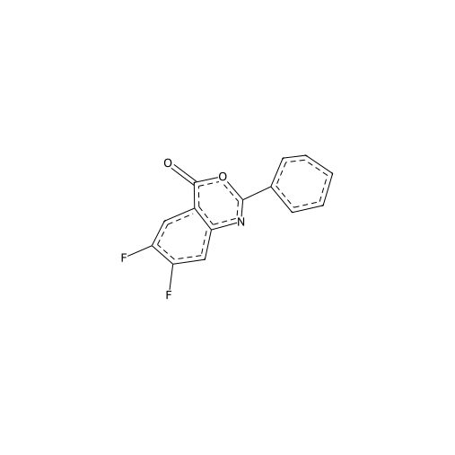 O=c1oc(-c2ccccc2)nc2cc(F)c(F)cc12